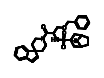 O=C(C(COCc1ccccc1)NS(=O)(=O)C1CC2CCC(C1)N2)N1CCC2(C=Cc3ccccc32)CC1